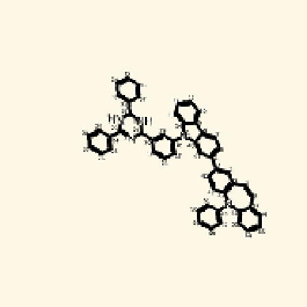 C1=Cc2cc(-c3ccc4c5ccccc5n(-c5cccc(C6N=C(c7ccccc7)NC(c7ccccc7)N6)c5)c4c3)ccc2N(c2ccccc2)c2ccccc21